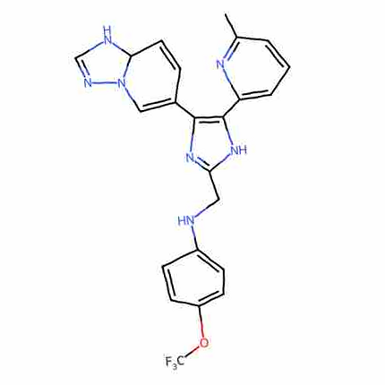 Cc1cccc(-c2[nH]c(CNc3ccc(OC(F)(F)F)cc3)nc2C2=CN3N=CNC3C=C2)n1